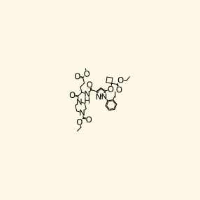 CCOC(=O)N1CCN(C(=O)C(CCC(=O)OC)NC(=O)c2cc(OC3(C(=O)OCC)CCC3)n(-c3ccccc3I)n2)CC1